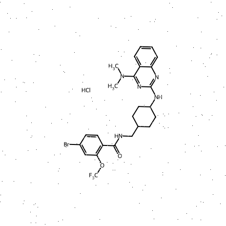 CN(C)c1nc(NC2CCC(CNC(=O)c3ccc(Br)cc3OC(F)(F)F)CC2)nc2ccccc12.Cl